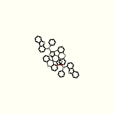 c1ccc(N(c2cc3c(s2)C24c5ccccc5Sc5cccc(c52)-c2c(N(c5ccccc5)c5cccc6c5sc5ccccc56)sc(c24)C32c3ccccc3Sc3ccccc32)c2cccc3c2sc2ccccc23)cc1